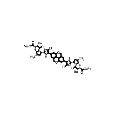 CC[C@H](C)[C@H](NC(=O)OC)C(=O)N1C[C@@H](C)C[C@H]1c1nc(Cl)c(-c2cc3c4c(c2)OCc2cc(-c5[nH]c([C@@H]6C[C@H](C)CN6C(=O)[C@@H](NC(=O)OC)[C@@H](C)CC)nc5Cl)cc(c2-4)OC3)[nH]1